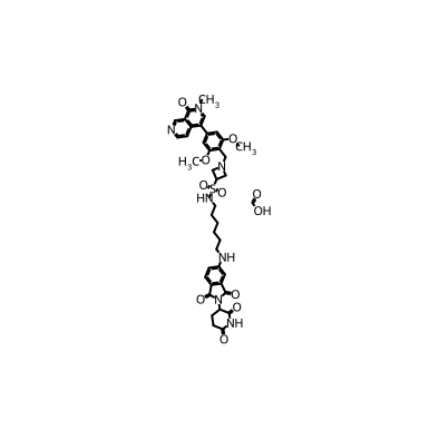 COc1cc(-c2cn(C)c(=O)c3cnccc23)cc(OC)c1CN1CC(S(=O)(=O)NCCCCCCNc2ccc3c(c2)C(=O)N(C2CCC(=O)NC2=O)C3=O)C1.O=CO